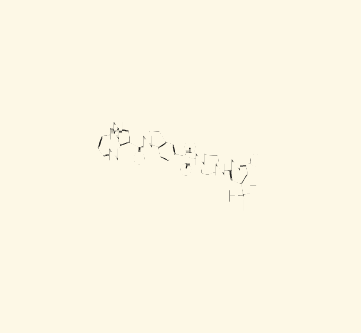 O=C(c1cnn2cccnc12)N1CCc2cc(S(=O)(=O)N3CCN(c4cc(C(F)(F)F)cc(Cl)n4)CC3)ccc21